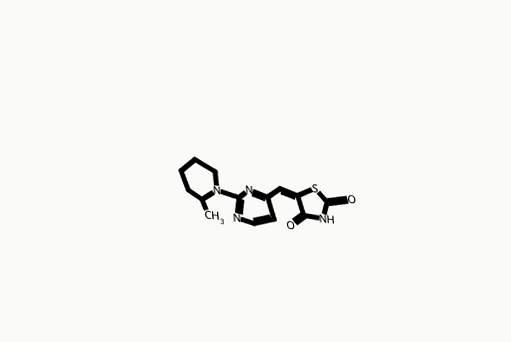 CC1CCCCN1c1nccc(/C=C2/SC(=O)NC2=O)n1